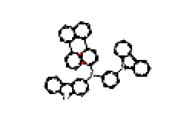 c1ccc(-c2cccc3cccc(-c4ccc(N(c5cccc(-n6c7ccccc7c7ccccc76)c5)c5ccc6oc7ccccc7c6c5)cc4)c23)cc1